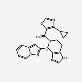 O=C(c1ocnc1C1CC1)N1CCc2[nH]cnc2[C@H]1c1cc2ccccn2n1